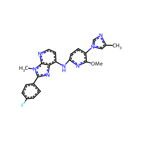 COc1nc(Nc2ccnc3c2nc(-c2ccc(F)cc2)n3C)ccc1-n1cnc(C)c1